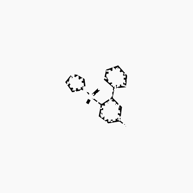 Cc1ccc(S(=O)(=O)n2ccnc2)c(-c2ccccc2)c1